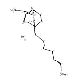 CCCCCCCCCCCCCCCCC12CCN(CC1)C(N)C2.Cl